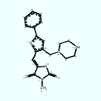 CN1C(=O)/C(=C/c2oc(-c3ccccc3)cc2CN2CCNCC2)SC1=S